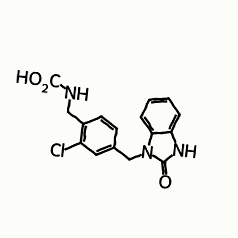 O=C(O)NCc1ccc(Cn2c(=O)[nH]c3ccccc32)cc1Cl